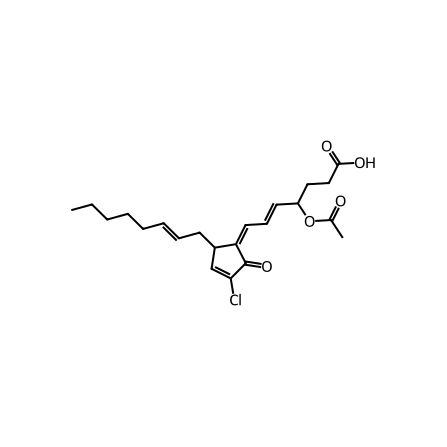 CCCCC/C=C/CC1C=C(Cl)C(=O)/C1=C\C=C\C(CCC(=O)O)OC(C)=O